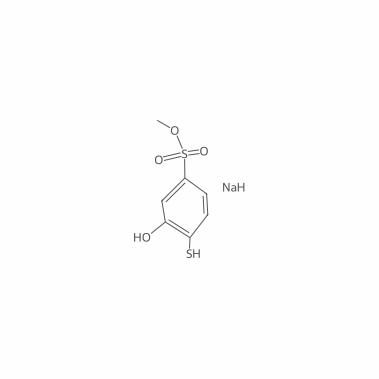 COS(=O)(=O)c1ccc(S)c(O)c1.[NaH]